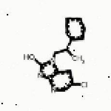 CC(Cn1c(O)nc2ncc(Cl)cc21)c1ccccc1